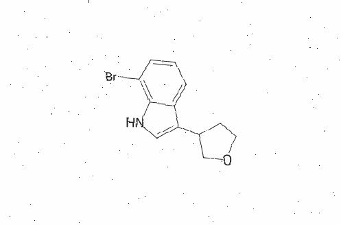 Brc1cccc2c(C3CCOC3)c[nH]c12